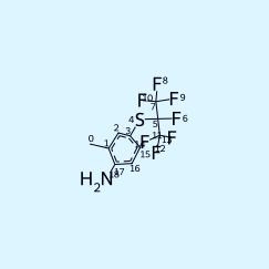 Cc1cc(SC(F)(C(F)(F)F)C(F)(F)F)ccc1N